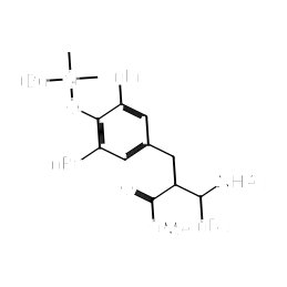 CCCCC(NC(C)=O)C(Cc1cc(CCC)c(O[Si](C)(C)C(C)(C)C)c(CCC)c1)C(=O)OC